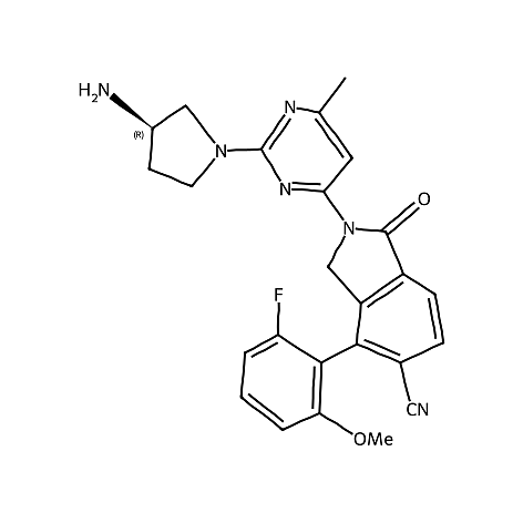 COc1cccc(F)c1-c1c(C#N)ccc2c1CN(c1cc(C)nc(N3CC[C@@H](N)C3)n1)C2=O